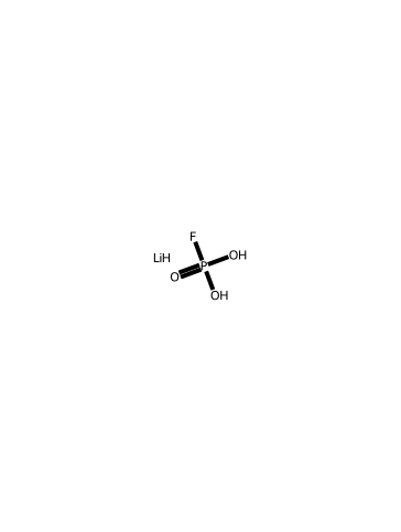 O=P(O)(O)F.[LiH]